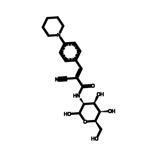 N#C/C(=C\c1ccc(N2CCCCC2)cc1)C(=O)N[C@H]1C(O)O[C@H](CO)[C@@H](O)[C@@H]1O